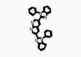 c1ccc(-n2c(-c3cnc4ncc(-c5nc6ccccc6n5-c5ccccc5)cc4c3)nc3ccccc32)cc1